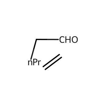 C=C.CCCCC=O